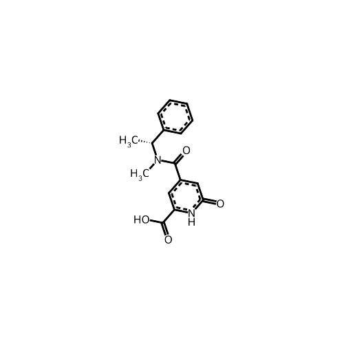 C[C@H](c1ccccc1)N(C)C(=O)c1cc(C(=O)O)[nH]c(=O)c1